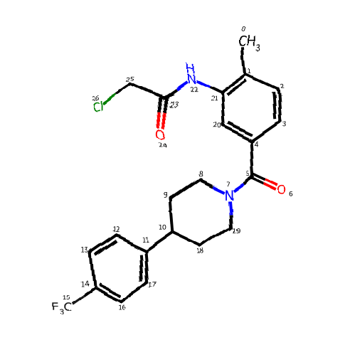 Cc1ccc(C(=O)N2CCC(c3ccc(C(F)(F)F)cc3)CC2)cc1NC(=O)CCl